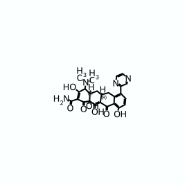 CN(C)C1C(O)=C(C(N)=O)C(=O)[C@@]2(O)C(O)=C3C(=O)c4c(O)ccc(-c5cnccn5)c4C[C@H]3C[C@@H]12